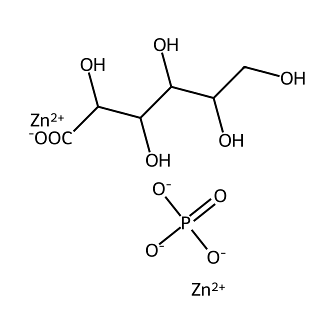 O=C([O-])C(O)C(O)C(O)C(O)CO.O=P([O-])([O-])[O-].[Zn+2].[Zn+2]